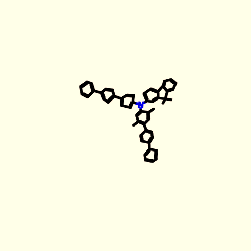 Cc1cc(N(c2ccc(-c3ccc(-c4ccccc4)cc3)cc2)c2ccc3c(c2)C(C)(C)c2ccccc2-3)c(C)cc1-c1ccc(-c2ccccc2)cc1